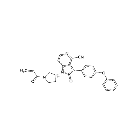 C=CC(=O)N1CC[C@@H](n2c(=O)n(-c3ccc(Oc4ccccc4)cc3)c3c(C#N)nccc32)C1